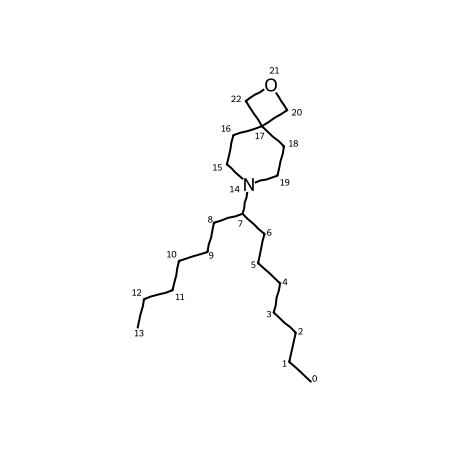 CCCCCCCC(CCCCCC)N1CCC2(CC1)COC2